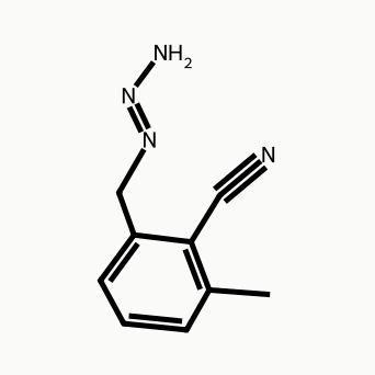 Cc1cccc(CN=NN)c1C#N